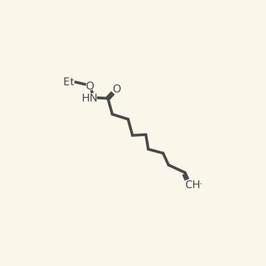 [CH]=CCCCCCCCC(=O)NOCC